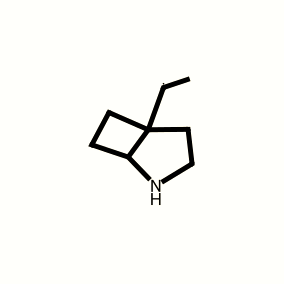 C[CH]C12CCNC1CC2